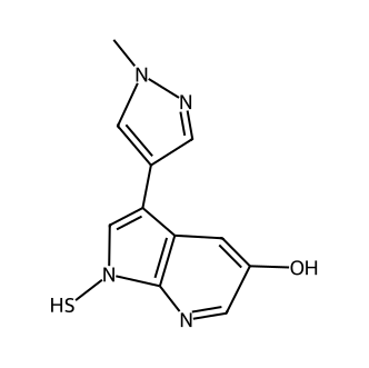 Cn1cc(-c2cn(S)c3ncc(O)cc23)cn1